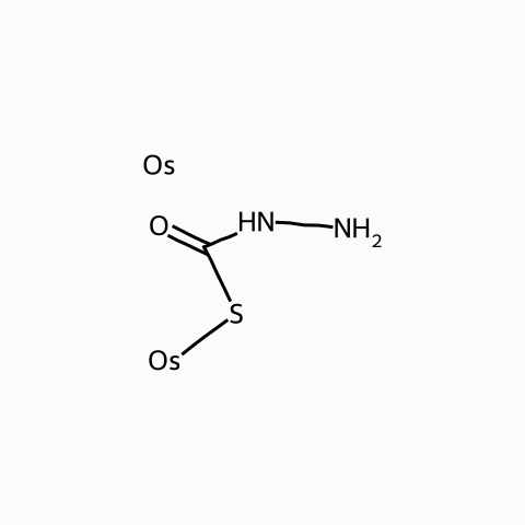 NNC(=O)[S][Os].[Os]